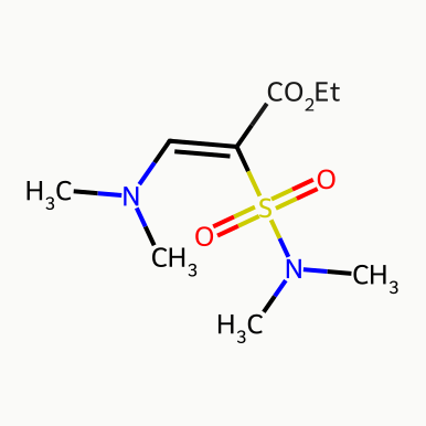 CCOC(=O)C(=CN(C)C)S(=O)(=O)N(C)C